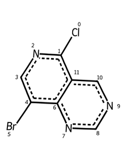 Clc1ncc(Br)c2ncncc12